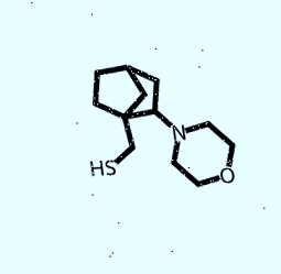 SCC12CCC(CC1N1CCOCC1)C2